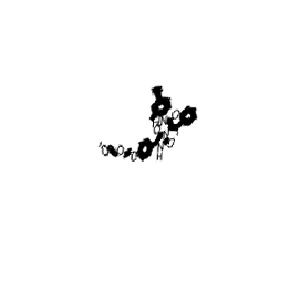 C#Cc1ccc(NC(=O)[C@H]([C@@H](C)c2ccccc2)N2C(=O)NC(c3ccc(OCCOCCOC)cc3)C2=O)c(C)c1